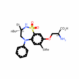 CCCC[C@@]1(CC)CN(c2ccccc2)c2cc(SC)c(OC[C@H](N)C(=O)O)cc2S(=O)(=O)N1